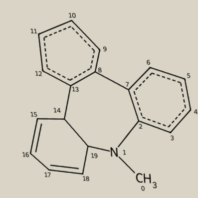 CN1c2ccccc2-c2ccccc2C2C=CC=CC21